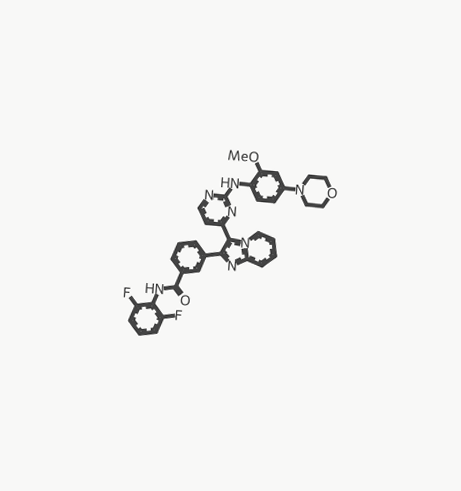 COc1cc(N2CCOCC2)ccc1Nc1nccc(-c2c(-c3cccc(C(=O)Nc4c(F)cccc4F)c3)nc3ccccn23)n1